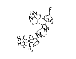 Cc1c[nH]c2nccc(-c3c(-c4ccc(F)cc4)nn4c3CN(C(=O)OC(C)(C)C)CC4)c12